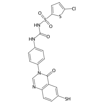 O=C(Nc1ccc(-n2cnc3ccc(S)cc3c2=O)cc1)NS(=O)(=O)c1ccc(Cl)s1